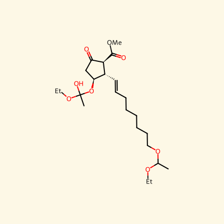 CCOC(C)OCCCCCCC=C[C@H]1[C@H](C(=O)OC)C(=O)C[C@@H]1OC(C)(O)OCC